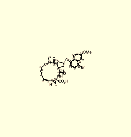 COc1ccc2c(O[C@@H]3C[C@H]4C(=O)N[C@]5(C(=O)O)C[C@H]5/C=C\CCCCN(C)C(=O)N4C3)ncc(Br)c2c1